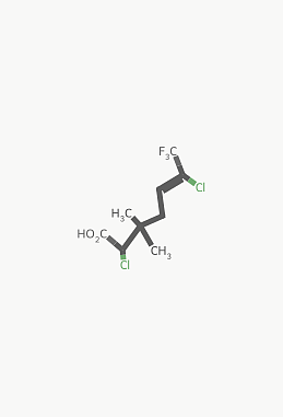 CC(C)(CC=C(Cl)C(F)(F)F)C(Cl)C(=O)O